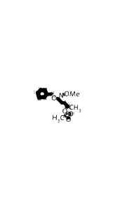 CON=C(CCC(C)OS(C)(=O)=O)OCc1ccccc1